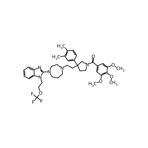 COc1cc(C(=O)N2CCC(CCN3CCCN(c4nc5ccccc5n4CCOC(F)(F)F)CC3)(c3ccc(C)c(C)c3)C2)cc(OC)c1OC